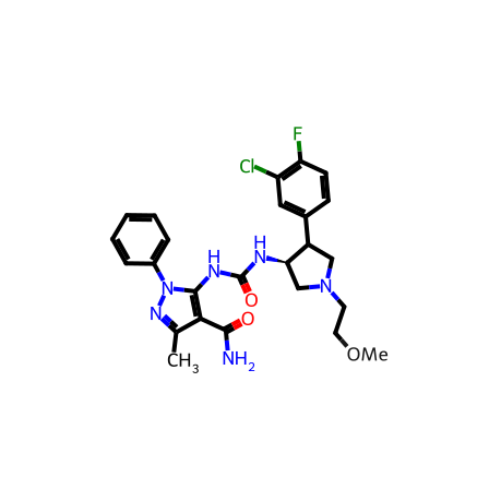 COCCN1CC(c2ccc(F)c(Cl)c2)[C@H](NC(=O)Nc2c(C(N)=O)c(C)nn2-c2ccccc2)C1